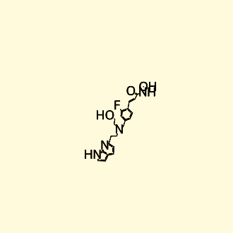 O=C(/C=C/c1ccc(CN(CCO)CCc2ccc3cc[nH]c3n2)cc1F)NO